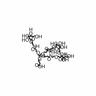 O=C(O)CCOCC(COCCC(=O)NCCOCC(O)[C@@H](O)[C@H](O)C(I)CO)(COCCC(=O)NCCO[C@H]1OC(CO)[C@@H](O)C(O)C1O)COCCC(=O)NCCO[C@H]1OC(CO)[C@@H](O)[C@H](O)C1O